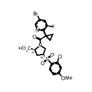 COc1ccc(S(=O)(=O)[C@@H]2C[C@@H](C(=O)O)N(C(=O)C3(c4ncc(Br)cc4F)CC3)C2)c(Cl)c1